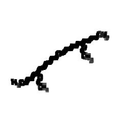 CCCCCC(CCCCCCOCCCCCCC(CCCCC)OCC)OCC